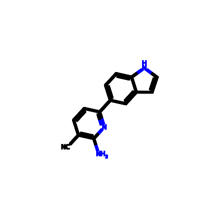 N#Cc1ccc(-c2ccc3[nH]ccc3c2)nc1N